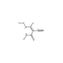 CCO/C(C)=C(/C#N)C(=O)OC